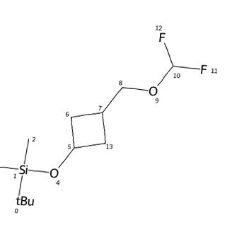 CC(C)(C)[Si](C)(C)OC1CC(COC(F)F)C1